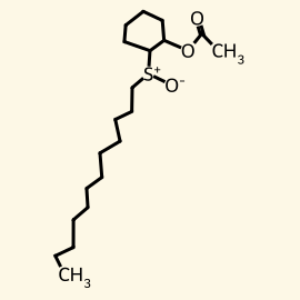 CCCCCCCCCCCC[S+]([O-])C1CCCCC1OC(C)=O